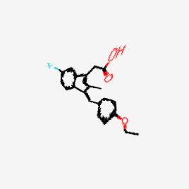 CCOc1ccc(C=C2C(C)=C(CC(=O)O)c3cc(F)ccc32)cc1